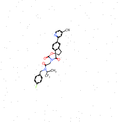 C[C@H](N(Cc1ccc(F)cc1)C(=O)CN1C(=O)O[C@@]2(CCc3cc(-c4cc(C#N)ccn4)ccc32)C1=O)C(F)(F)F